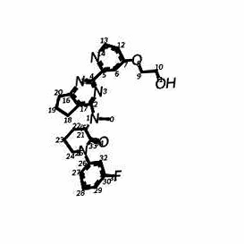 CN(c1nc(-c2cc(OCCO)ccn2)nc2c1CCC2)[C@H]1CCCN(c2cccc(F)c2)C1=O